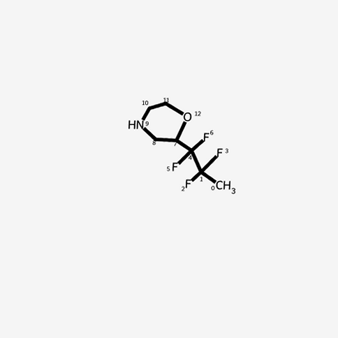 CC(F)(F)C(F)(F)C1CNCCO1